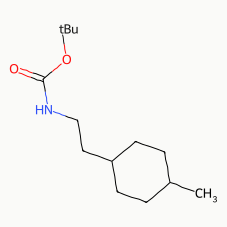 CC1CCC(CCNC(=O)OC(C)(C)C)CC1